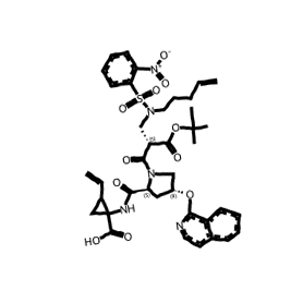 C=CCCCN(C[C@H](C(=O)OC(C)(C)C)C(=O)N1C[C@H](Oc2nccc3ccccc23)C[C@H]1C(=O)NC1(C(=O)O)CC1C=C)S(=O)(=O)c1ccccc1[N+](=O)[O-]